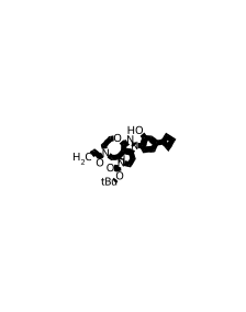 C=CC(=O)N1CCOc2nn(-c3ccc(C4CCC4)cc3O)c3c2[C@H](C1)N(C(=O)OC(C)(C)C)CC3